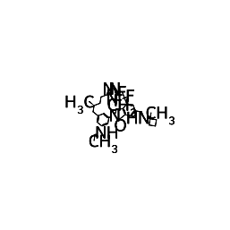 CCNc1cc(C[C@@H](C)CCc2nncn2C)cc(N2Cc3c(cc(CNC4(C)CCC4)cc3C(F)(F)F)C2=O)c1